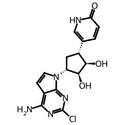 Nc1nc(Cl)nc2c1ccn2[C@@H]1C[C@H](c2ccc(=O)[nH]c2)[C@@H](O)[C@H]1O